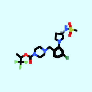 CC(OC(=O)N1CCN(Cc2ccc(Cl)cc2N2CC[C@H](NS(C)(=O)=O)C2)CC1)C(F)(F)F